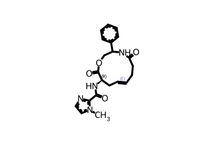 Cn1ccnc1C(=O)N[C@@H]1C/C=C/CCC(=O)NC(c2ccccc2)COC1=O